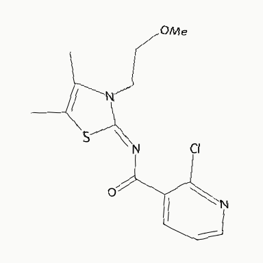 COCCn1c(C)c(C)sc1=NC(=O)c1cccnc1Cl